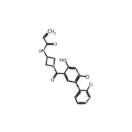 C=CC(=O)NC1CN(C(=O)c2cc(-c3ccccc3Cl)c(Cl)cc2O)C1